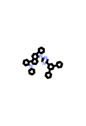 c1ccc(-c2cc(-c3ccccc3)cc(-c3cnc(-n4c5ccccc5c5ccc6c(ccc7c6c6ccccc6n7-c6ccccc6)c54)cn3)c2)cc1